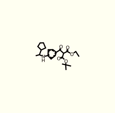 CCOC(=O)C(C(=O)OC(C)(C)C)C(=O)c1ccc(NC(C)C2CCCC2)cc1